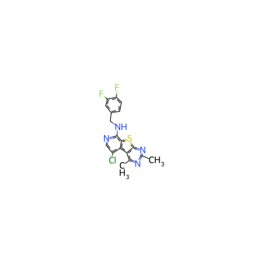 Cc1nc(C)c2c(n1)sc1c(NCc3ccc(F)c(F)c3)ncc(Cl)c12